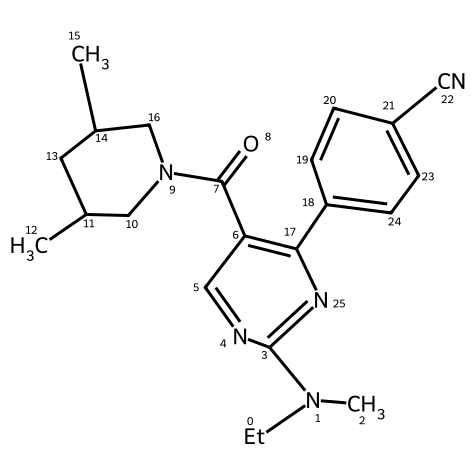 CCN(C)c1ncc(C(=O)N2CC(C)CC(C)C2)c(-c2ccc(C#N)cc2)n1